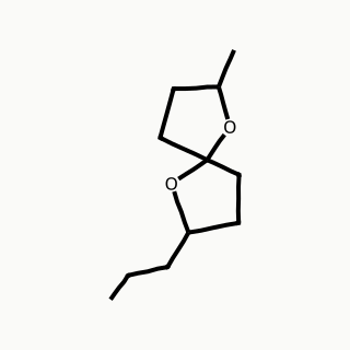 CCCC1CCC2(CCC(C)O2)O1